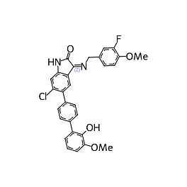 COc1ccc(C/N=C2\C(=O)Nc3cc(Cl)c(-c4ccc(-c5cccc(OC)c5O)cc4)cc32)cc1F